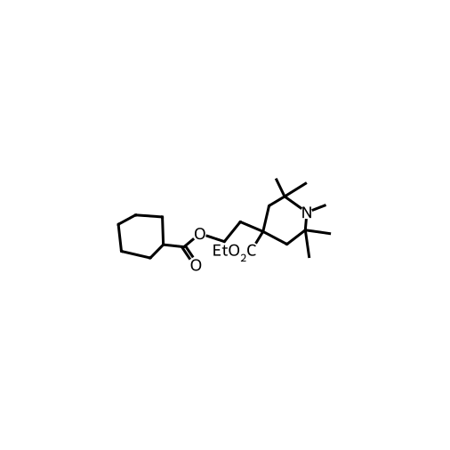 CCOC(=O)C1(CCOC(=O)C2CCCCC2)CC(C)(C)N(C)C(C)(C)C1